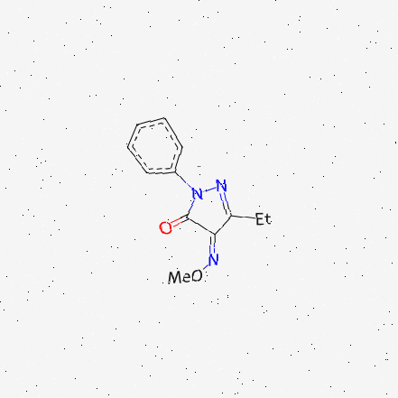 CCC1=NN(c2ccccc2)C(=O)C1=NOC